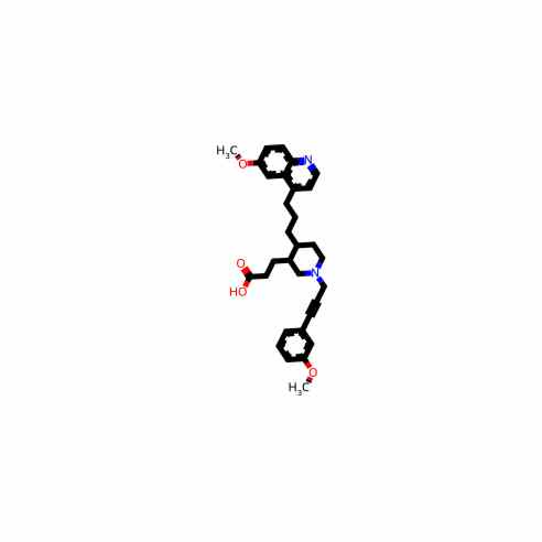 COc1cccc(C#CCN2CCC(CCCc3ccnc4ccc(OC)cc34)C(CCC(=O)O)C2)c1